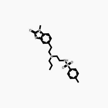 CCCN(CCNS(=O)(=O)c1ccc(C)cc1)CCc1ccc2c(c1)sc(=O)n2C